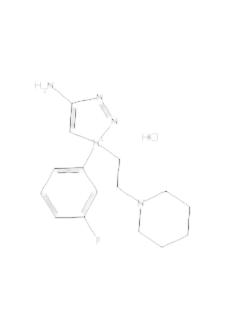 Cl.NC1=C[N+](CCN2CCCCC2)(c2cccc(F)c2)N=N1